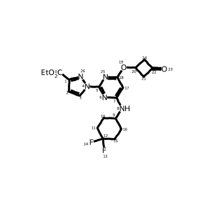 CCOC(=O)c1ccn(-c2nc(NC3CCC(F)(F)CC3)cc(OC3CC(=O)C3)n2)n1